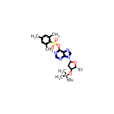 CC[C@H]1O[C@@H](n2cnc3c(OS(=O)(=O)c4c(C)cc(C)cc4C)ncnc32)CC1O[Si](C)(C)C(C)(C)C